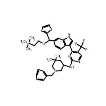 CC1(C)CC(Nc2ncc(C(F)(F)F)c(-c3c[nH]c4cc(C(OCC[Si](C)(C)C)c5nccs5)ccc34)n2)CN(Cc2ccccc2)C1